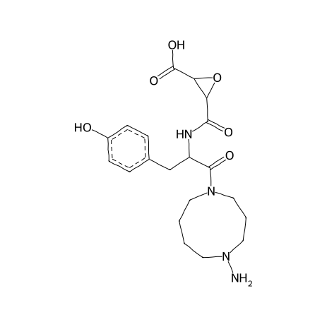 NN1CCCCN(C(=O)C(Cc2ccc(O)cc2)NC(=O)C2OC2C(=O)O)CCC1